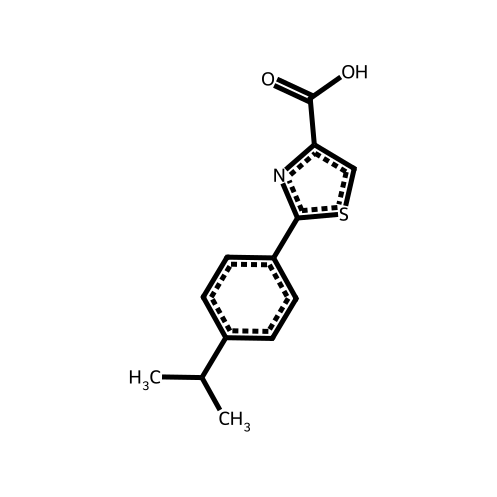 CC(C)c1ccc(-c2nc(C(=O)O)cs2)cc1